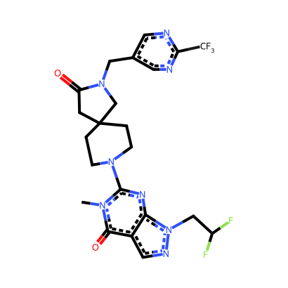 Cn1c(N2CCC3(CC2)CC(=O)N(Cc2cnc(C(F)(F)F)nc2)C3)nc2c(cnn2CC(F)F)c1=O